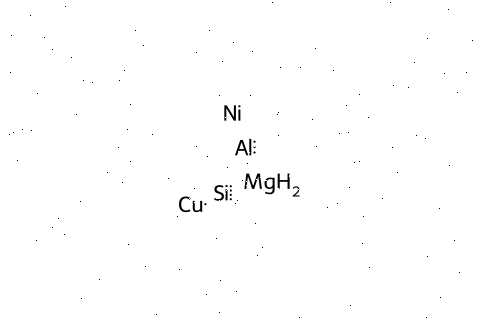 [Al].[Cu].[MgH2].[Ni].[Si]